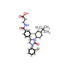 CC(C)(C)C1CCC(N2C(=O)N(c3ccccc3Br)CC2c2ccc(C(=O)NCCC(=O)O)cc2)CC1